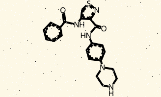 O=C(Nc1csnc1C(=O)Nc1ccc(N2CCNCC2)cc1)c1ccccc1